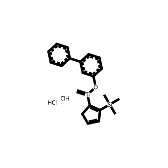 Cl.Cl.[CH2]=[Ti]([O]c1cccc(-c2ccccc2)c1)[C]1=C([Si](C)(C)C)C=CC1